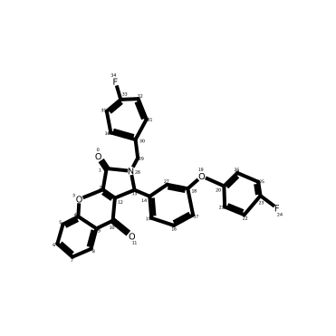 O=C1c2oc3ccccc3c(=O)c2C(c2cccc(Oc3ccc(F)cc3)c2)N1Cc1ccc(F)cc1